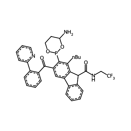 CCCCc1c2c(cc(C(=O)c3ccccc3-c3ccccn3)c1P1OCCC(N)O1)-c1ccccc1C2C(=O)NCC(F)(F)F